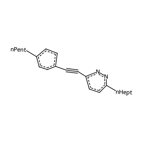 CCCCCCCc1ccc(C#Cc2ccc(CCCCC)cc2)nn1